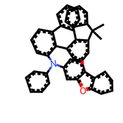 CC1(C)c2ccccc2-c2c(-c3c(-c4ccccc4)cccc3N(c3ccccc3)c3ccc4c(c3)oc3ccccc34)cccc21